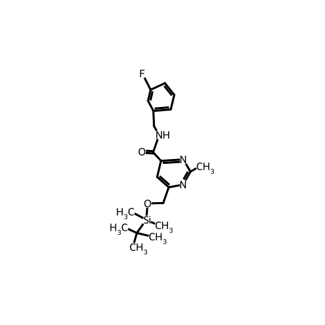 Cc1nc(CO[Si](C)(C)C(C)(C)C)cc(C(=O)NCc2cccc(F)c2)n1